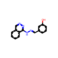 Oc1cccc(/C=N/Nc2nncc3ccccc23)c1